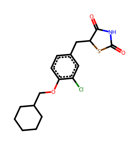 O=C1NC(=O)C(Cc2ccc(OCC3CCCCC3)c(Cl)c2)S1